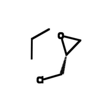 CCC.ClC[C@H]1CO1